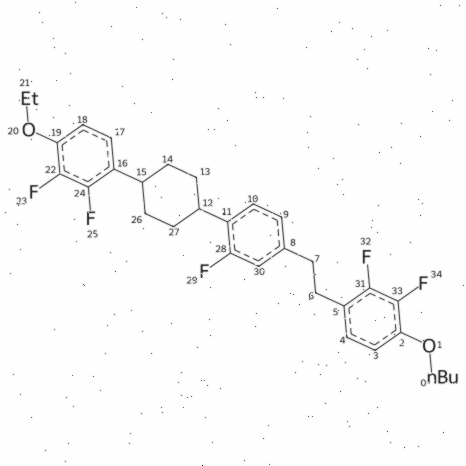 CCCCOc1ccc(CCc2ccc(C3CCC(c4ccc(OCC)c(F)c4F)CC3)c(F)c2)c(F)c1F